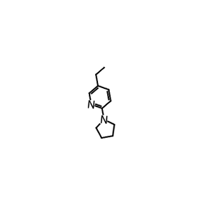 CCc1ccc(N2CCCC2)nc1